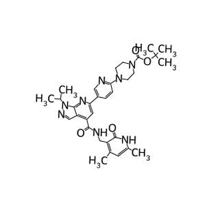 Cc1cc(C)c(CNC(=O)c2cc(-c3ccc(N4CCN(C(=O)OC(C)(C)C)CC4)nc3)nc3c2cnn3C(C)C)c(=O)[nH]1